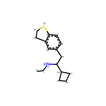 CCNC(Cc1ccc2c(c1)CCS2)C1CCC1